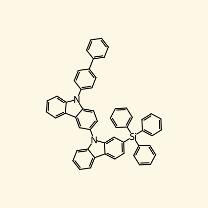 c1ccc(-c2ccc(-n3c4ccccc4c4cc(-n5c6ccccc6c6ccc([Si](c7ccccc7)(c7ccccc7)c7ccccc7)cc65)ccc43)cc2)cc1